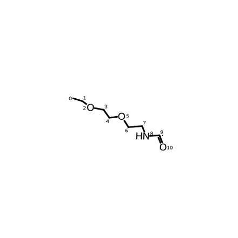 CCOCCOCCN[C]=O